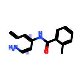 C=C/C=C(\C=C/N)NC(=O)c1ccccc1C